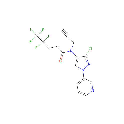 C#CCN(C(=O)CCC(F)(F)C(F)(F)F)c1cn(-c2cccnc2)nc1Cl